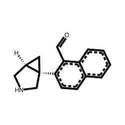 O=Cc1c([C@]23CNC[C@H]2C3)ccc2ccccc12